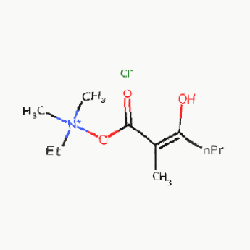 CCC/C(O)=C(\C)C(=O)O[N+](C)(C)CC.[Cl-]